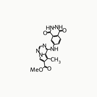 COC(=O)c1cn2ncnc(Nc3ccc4c(=O)[nH][nH]c(=O)c4c3)c2c1C